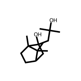 CC(C)(O)CC1(O)CC2CCC1(C)C2(C)C